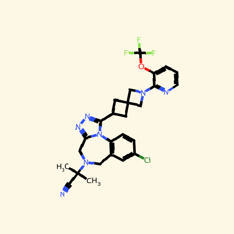 CC(C)(C#N)N1Cc2cc(Cl)ccc2-n2c(nnc2C2CC3(C2)CN(c2ncccc2OC(F)(F)F)C3)C1